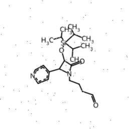 CC(C)[Si](OC1C(=O)N(CCCC=O)C1c1ccncc1)(C(C)C)C(C)C